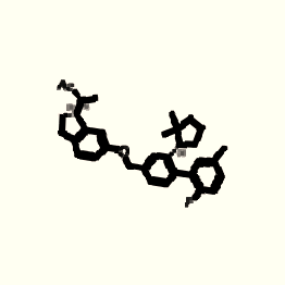 CC(=O)[C@@H](C)[C@H]1CCc2ccc(OCc3ccc(-c4cc(C)ccc4F)c([C@H]4CCCC4(C)C)c3)cc21